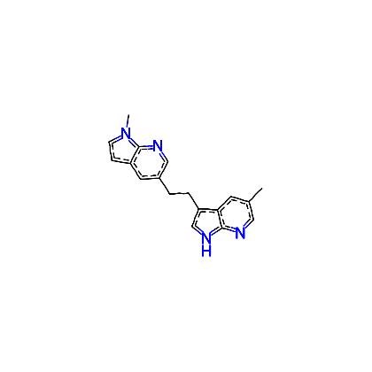 Cc1cnc2[nH]cc(CCc3cnc4c(ccn4C)c3)c2c1